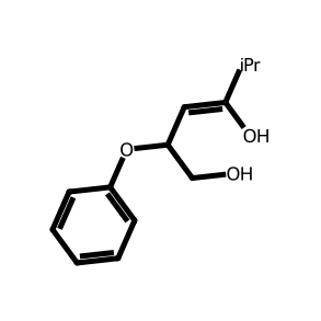 CC(C)C(O)=CC(CO)Oc1ccccc1